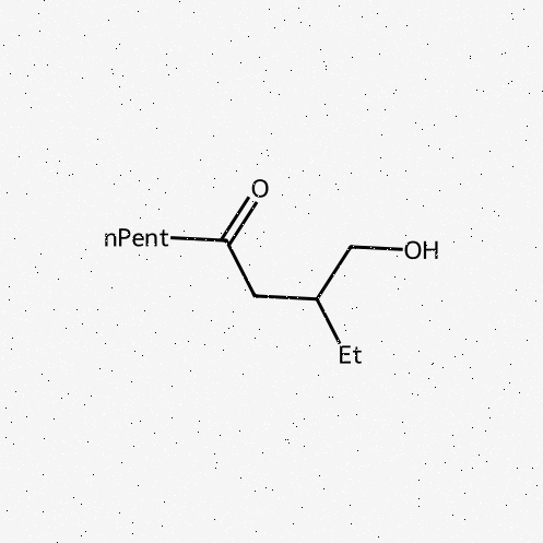 CCCCCC(=O)CC(CC)CO